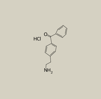 Cl.NCCc1ccc(C(=O)c2ccccc2)cc1